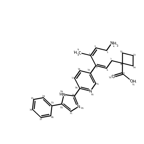 C/C(=C/CN)C(=CCC1(C(=O)O)CCC1)c1ccc(-c2ncc(-c3ccccc3)[nH]2)nc1